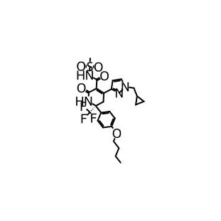 CCCCOc1ccc([C@]2(C(F)(F)F)CC(c3ccn(CC4CC4)n3)=C(C(=O)NS(C)(=O)=O)C(=O)N2)cc1